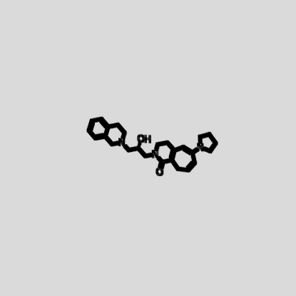 O=C1C2=C(C=C(N3CCCC3)C=CC2)CCN1C[C@H](O)CN1CCc2ccccc2C1